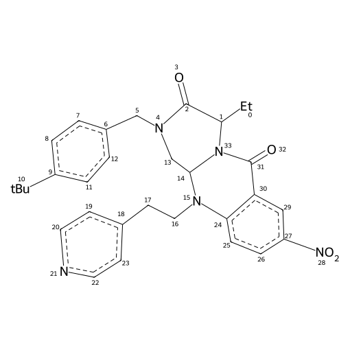 CCC1C(=O)N(Cc2ccc(C(C)(C)C)cc2)CC2N(CCc3ccncc3)c3ccc([N+](=O)[O-])cc3C(=O)N12